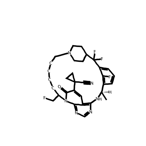 C[C@H]1Nc2ncnc3c2cc(C2(C#N)CC2)c(=O)n3C(CF)CCCCCN2CCC(CC2)C(F)(F)c2cccc1c2F